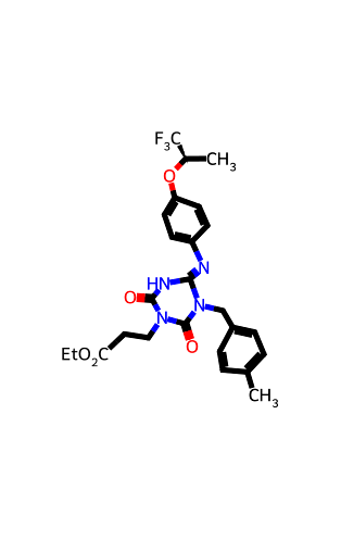 CCOC(=O)CCn1c(=O)[nH]/c(=N\c2ccc(O[C@H](C)C(F)(F)F)cc2)n(Cc2ccc(C)cc2)c1=O